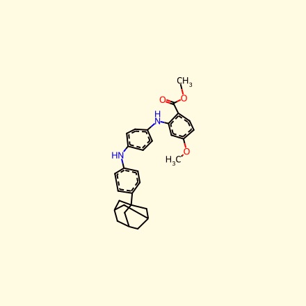 COC(=O)c1ccc(OC)cc1Nc1ccc(Nc2ccc(C34CC5CC(CC(C5)C3)C4)cc2)cc1